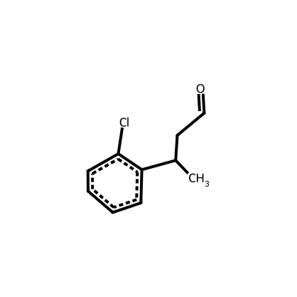 CC(CC=O)c1ccccc1Cl